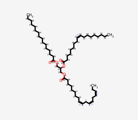 CC/C=C\C/C=C\C/C=C\CCCCCCCC(=O)OCC(COC(=O)CCCCCCCCCCCCCCC)OC(=O)CCCCCCC/C=C\CCCCCCCC